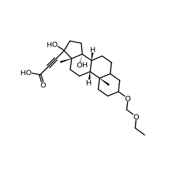 CCOCOC1CC[C@@]2(C)C(CC[C@@H]3[C@H]2CC[C@]2(C)C(O)(C#CC(=O)O)CC[C@@]32O)C1